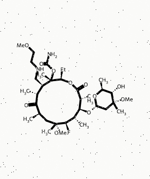 CC[C@H]1OC(=O)[C@H](C)[C@@H](O[C@H]2C[C@@](C)(OC)[C@@H](O)[C@H](C)O2)[C@H](C)[C@@H](F)[C@](C)(OC)C[C@@H](C)C(=O)[C@H](C)[C@@H](CNCCOC)[C@]1(C)OC(N)=O